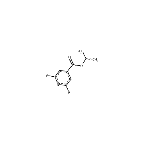 CC(C)OC(=O)c1cc(F)nc(F)c1